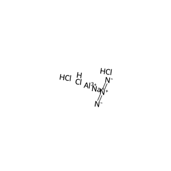 Cl.Cl.Cl.[Al+3].[N-]=[N+]=[N-].[Na+]